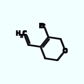 C=CC1=C(CC)COCC1